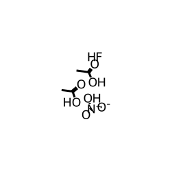 CC(=O)O.CC(=O)O.F.O=[N+]([O-])O